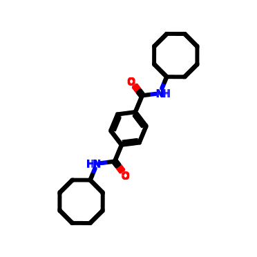 O=C(NC1CCCCCCC1)c1ccc(C(=O)NC2CCCCCCC2)cc1